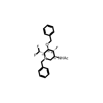 CC(=O)N[C@H]1CN(Cc2ccccc2)[C@H](C(F)F)[C@@H](OCc2ccccc2)[C@@H]1F